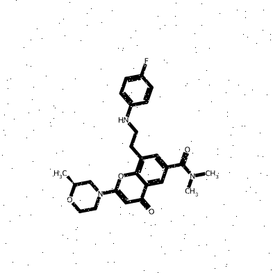 C[C@H]1CN(c2cc(=O)c3cc(C(=O)N(C)C)cc(CCNc4ccc(F)cc4)c3o2)CCO1